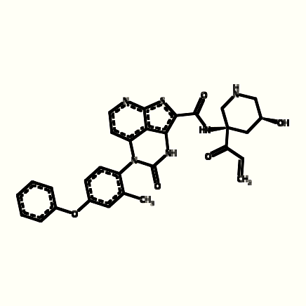 C=CC(=O)[C@]1(NC(=O)c2sc3nccc4c3c2NC(=O)N4c2ccc(Oc3ccccc3)cc2C)CNC[C@@H](O)C1